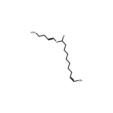 CCCC/C=C\CCCCCCCC([O])OC=CCCCCCCCCCCCC